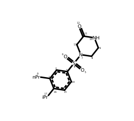 CCCc1cc(S(=O)(=O)N2CCNC(=O)C2)ccc1C(C)C